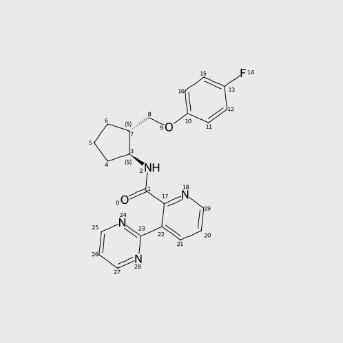 O=C(N[C@H]1CCC[C@@H]1COc1ccc(F)cc1)c1ncccc1-c1ncccn1